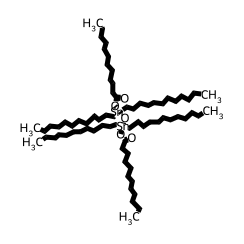 CCCCCCCCCCC[CH2][Sn]([CH2]CCCCCCCCCCC)([O]C(=O)CCCCCCCCCCC)[O][Sn]([CH2]CCCCCCCCCCC)([CH2]CCCCCCCCCCC)[O]C(=O)CCCCCCCCCCC